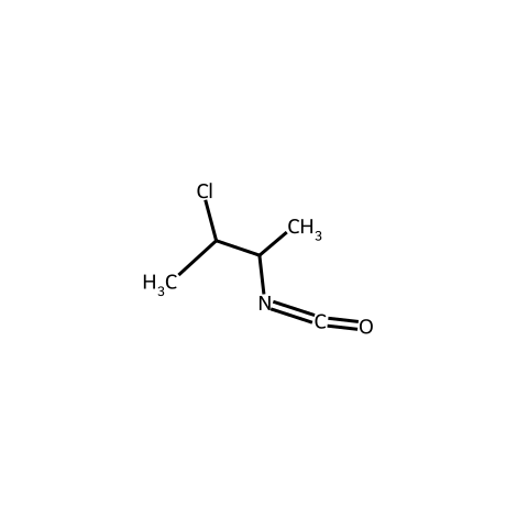 CC(Cl)C(C)N=C=O